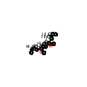 CC1(C)c2cc(-c3cc4c(c5c3oc3ccccc35)-c3ccc5c(c3[Si]4(C)C)[Si](C)(C)c3cc(-c4ccc6c(c4)C(C)(C)c4ccc7ccccc7c4-6)c4c(oc6ccccc64)c3-5)ccc2-c2c1ccc1ccccc21